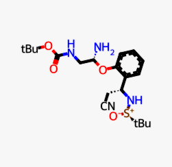 CC(C)(C)OC(=O)NC[C@H](N)Oc1ccccc1[C@@H](CC#N)N[S@+]([O-])C(C)(C)C